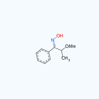 COC(C)C(=NO)c1ccccc1